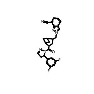 N#Cc1cccc2cn(CC3CC(C(=O)N4N=CCC4c4cc(F)cc(F)c4)C4CC3C4)nc12